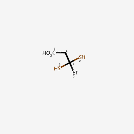 [CH2]CC(S)(S)CC(=O)O